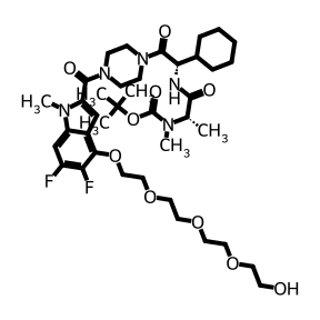 C[C@@H](C(=O)N[C@H](C(=O)N1CCN(C(=O)c2cc3c(OCCOCCOCCOCCO)c(F)c(F)cc3n2C)CC1)C1CCCCC1)N(C)C(=O)OC(C)(C)C